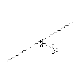 CCCCCC=CCC=CCCCCCCCCN(CCCCCCCCC=CCC=CCCCCC)C(=O)CCCCNC(=O)O